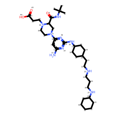 CC(C)(C)NC(=O)C1CN(c2cc(N)nc(NC3CCC(CCNCCCNC4CCCCC4)CC3)n2)CCN1CCC(=O)O